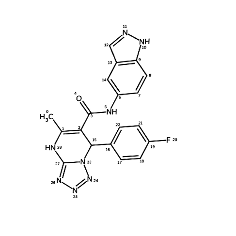 CC1=C(C(=O)Nc2ccc3[nH]ncc3c2)C(c2ccc(F)cc2)n2nnnc2N1